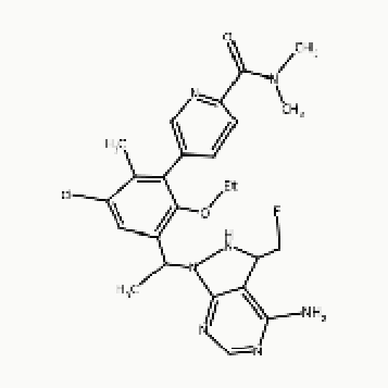 CCOc1c(C(C)N2NC(CF)c3c(N)ncnc32)cc(Cl)c(C)c1-c1ccc(C(=O)N(C)C)nc1